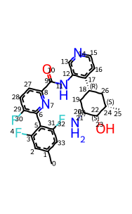 Cc1cc(F)c(-c2nc(C(=O)Nc3cnccc3[C@H]3C[C@@H](N)[C@@H](O)[C@@H](C)C3)ccc2F)c(F)c1